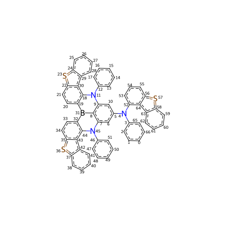 c1ccc(N(c2cc3c4c(c2)N(c2ccccc2)c2c(ccc5sc6ccccc6c25)B4c2ccc4sc5ccccc5c4c2N3c2ccccc2)c2cccc3sc4ccccc4c23)cc1